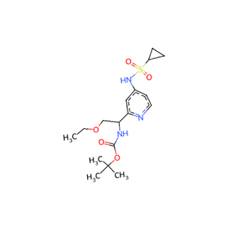 CCOCC(NC(=O)OC(C)(C)C)c1cc(NS(=O)(=O)C2CC2)ccn1